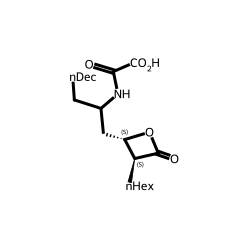 CCCCCCCCCCCC(C[C@@H]1OC(=O)[C@H]1CCCCCC)NC(=O)C(=O)O